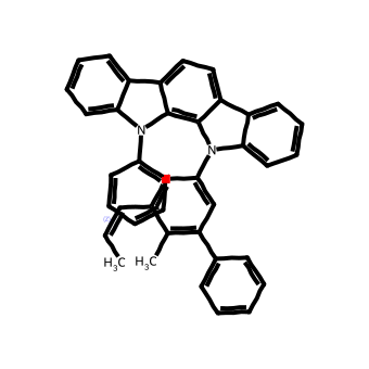 C/C=C\c1nc(-n2c3ccccc3c3ccc4c5ccccc5n(-c5ccccc5)c4c32)cc(-c2ccccc2)c1C